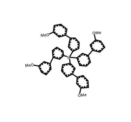 COc1cccc(-c2cccc([Si](c3cccc(-c4cccc(OC)c4)c3)(c3cccc(-c4cccc(OC)c4)c3)c3cccc(-c4cccc(OC)c4)c3)c2)c1